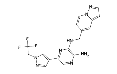 Nc1ncc(-c2cnn(CC(F)(F)F)c2)nc1NCc1ccn2nccc2c1